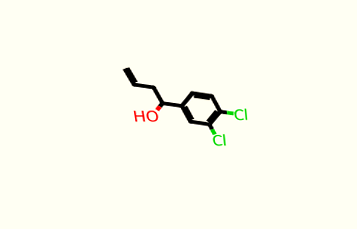 C=CCC(O)c1ccc(Cl)c(Cl)c1